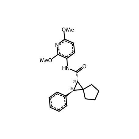 COc1ccc(NC(=O)[C@H]2[C@H](c3ccccc3)C23CCCC3)c(OC)n1